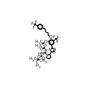 CC(C)(C)OC(=O)/N=C(\NC(=O)OC(C)(C)C)N1CCCC1c1nc(-c2ccc(OCCCCc3ccc(C(F)(F)F)cc3)c(C(F)(F)F)c2)no1